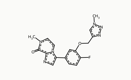 Cn1cc(COc2cc(-c3cnc4c(=O)n(C)ccn34)ccc2F)nn1